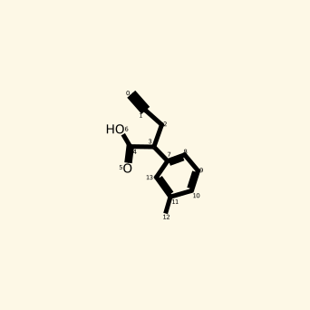 C#CCC(C(=O)O)c1cccc(C)c1